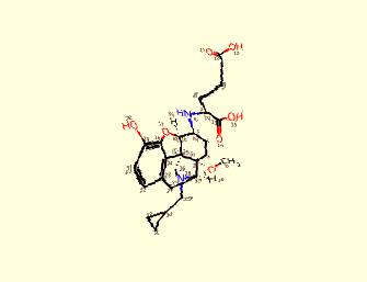 CO[C@@]12CC[C@H](N[C@@H](CCC(=O)O)C(=O)O)[C@@H]3Oc4c(O)ccc5c4[C@@]31CCN(CC1CC1)[C@@H]2C5